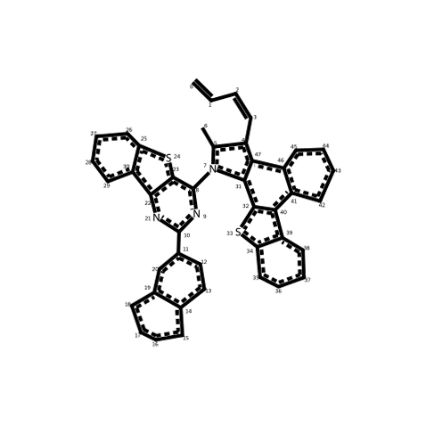 C=C/C=C\c1c(C)n(-c2nc(-c3ccc4ccccc4c3)nc3c2sc2ccccc23)c2c3sc4ccccc4c3c3ccccc3c12